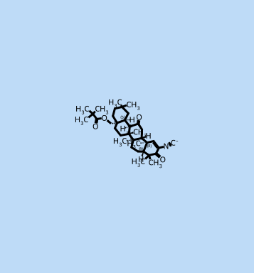 [C-]#[N+]C1=C[C@]2(C)[C@H]3CC(=O)[C@@H]4[C@@H]5CC(C)(C)CC[C@]5(COC(=O)C(C)(C)C)CC[C@@]4(C)[C@]3(C)CC[C@H]2C(C)(C)C1=O